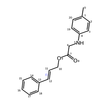 Cc1ccc(NCC(=O)OC/C=C/c2ccccc2)cc1